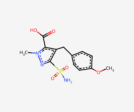 COc1ccc(Cc2c(S(N)(=O)=O)nn(C)c2C(=O)O)cc1